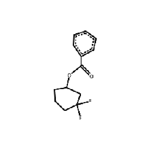 O=C(OC1CCCC(F)(F)C1)c1ccccc1